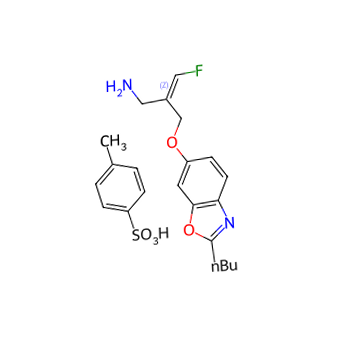 CCCCc1nc2ccc(OC/C(=C\F)CN)cc2o1.Cc1ccc(S(=O)(=O)O)cc1